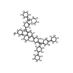 Fc1ccc(N(c2ccc3c(c2)C2C=CC=CC2N3c2ccccc2)c2ccc(-c3ccc(N(c4ccc(-c5ccccc5)cc4)c4ccc(-c5ccccc5)cc4)cc3)c3ccccc23)cc1